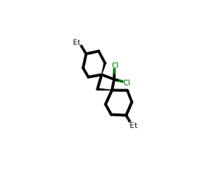 CCC1CC[C@]2(CC1)C[C@@]1(CCC(CC)CC1)C2(Cl)Cl